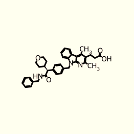 Cc1nc2c(c(C)c1CCC(=O)O)c1ccccc1n2Cc1ccc([C@@H](C(=O)NCc2ccccc2)C2CCOCC2)cc1